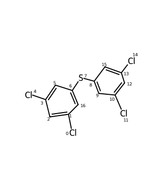 Clc1cc(Cl)cc(Sc2cc(Cl)cc(Cl)c2)c1